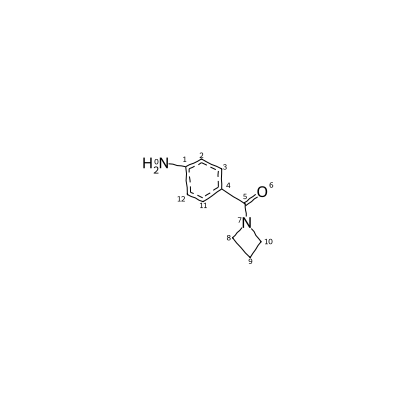 Nc1ccc(C(=O)N2CCC2)cc1